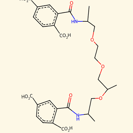 CC(COCCOCC(C)OCC(C)NC(=O)c1cc(C(=O)O)ccc1C(=O)O)NC(=O)c1cc(C(=O)O)ccc1C(=O)O